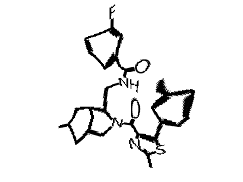 Cc1cccc(-c2sc(C)nc2C(=O)N2CC3CC(C)CC3C2CNC(=O)c2cccc(F)c2)c1